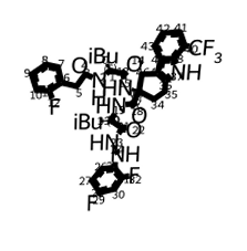 CCC(C)[C@H](NC(=O)Cc1ccccc1F)C(=O)N[C@]1(C(=O)N[C@H](C(=O)NNc2ccc(F)cc2F)C(C)CC)CCc2[nH]c3c(C(F)(F)F)cccc3c2C1